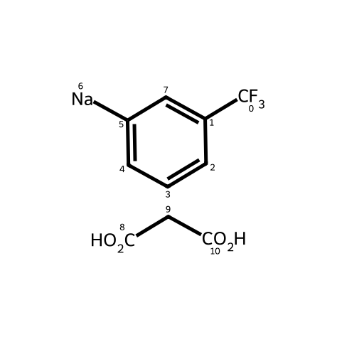 FC(F)(F)c1ccc[c]([Na])c1.O=C(O)CC(=O)O